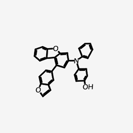 Oc1ccc(N(c2ccccc2)c2cc(-c3ccc4occc4c3)c3c(c2)oc2ccccc23)cc1